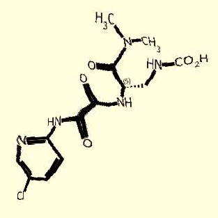 CN(C)C(=O)[C@H](CNC(=O)O)NC(=O)C(=O)Nc1ccc(Cl)cn1